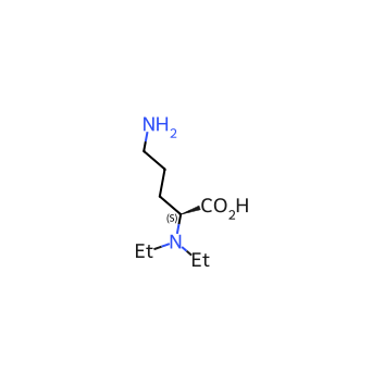 CCN(CC)[C@@H](CCCN)C(=O)O